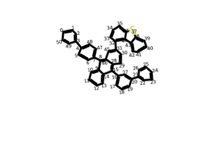 c1ccc(-c2ccc(-c3c4ccccc4c(-c4cccc(-c5ccccc5)c4)c4ccc(-c5cccc6sc7ccccc7c56)cc34)cc2)cc1